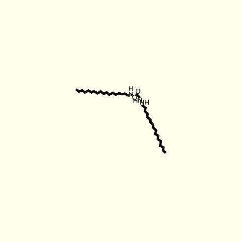 CCCCCCCCCCCCCCCCCCNNCC(=O)ONCCCCCCCCCCCCCCCCCC